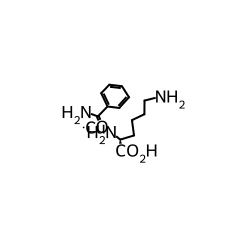 NC(=O)c1ccccc1.NCCCC[C@H](N)C(=O)O.[Cu]